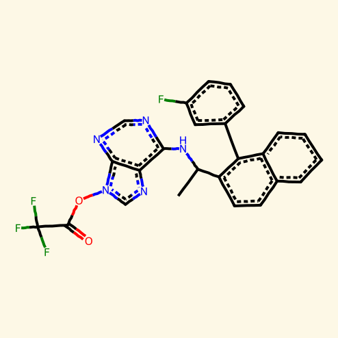 CC(Nc1ncnc2c1ncn2OC(=O)C(F)(F)F)c1ccc2ccccc2c1-c1cccc(F)c1